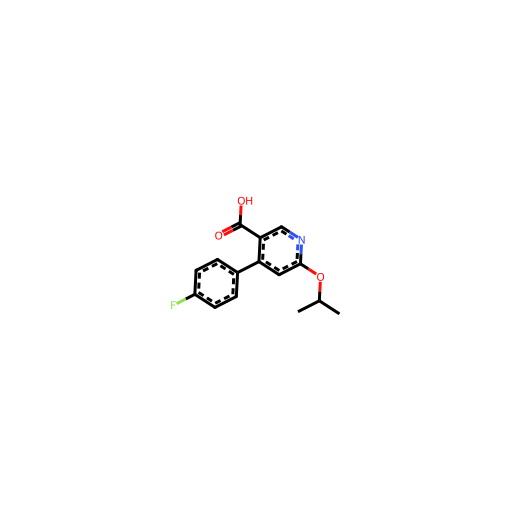 CC(C)Oc1cc(-c2ccc(F)cc2)c(C(=O)O)cn1